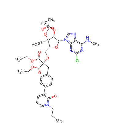 C#C[C@@]1(OC(C)=O)[C@@H](COC(Cc2ccc(-c3cccn(CCC)c3=O)cc2)(C(=O)OCC)C(=O)OCC)O[C@@H](n2cnc3c(NC)nc(Cl)nc32)[C@@H]1OC(C)=O